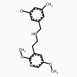 COc1cnc(OC)c(CCNCc2cc(C)cc(Cl)c2)c1